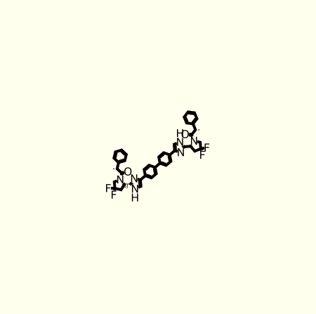 O=C([CH]c1ccccc1)N1CC(F)(F)CC1c1nc(-c2ccc(-c3ccc(-c4c[nH]c([C@@H]5CC(F)(F)CN5C(=O)[CH]c5ccccc5)n4)cc3)cc2)c[nH]1